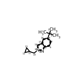 CC(C)(C)c1ccc2nn(CC3CC3)cc2c1